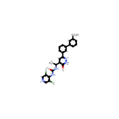 CCOC(=O)c1cccc(-c2cccc(-c3cc(C(C)NC(=O)Nc4c(Cl)cncc4Cl)c(=O)[nH]n3)c2)c1